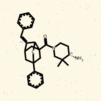 CC1(C)CN(C(=O)C23CC4CC(c5ccccc5)(CC2/C4=C\c2ccccc2)C3)CC[C@@H]1N